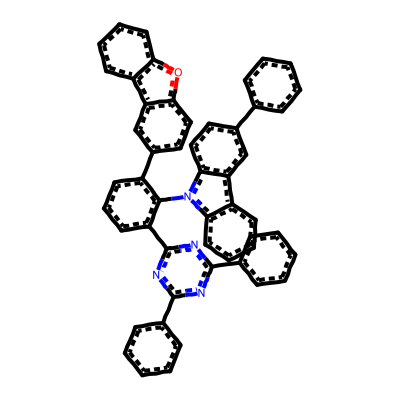 c1ccc(-c2ccc3c(c2)c2ccccc2n3-c2c(-c3ccc4oc5ccccc5c4c3)cccc2-c2nc(-c3ccccc3)nc(-c3ccccc3)n2)cc1